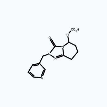 O=C(O)OC1CCCc2nn(Cc3cccnc3)c(=O)n21